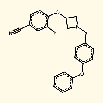 N#Cc1ccc(OC2CN(Cc3ccc(Oc4ccccc4)cc3)C2)c(F)c1